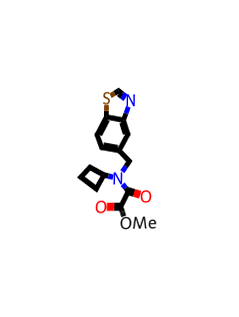 COC(=O)C(=O)N(Cc1ccc2scnc2c1)C1CCC1